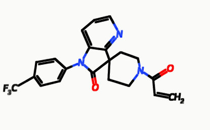 C=CC(=O)N1CCC2(CC1)C(=O)N(c1ccc(C(F)(F)F)cc1)c1cccnc12